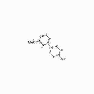 COc1cccc(N2CCN(C(C)C)CC2)n1